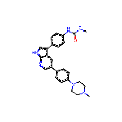 CNC(=O)Nc1ccc(-c2c[nH]c3ncc(-c4ccc(N5CCN(C)CC5)cc4)cc23)cc1